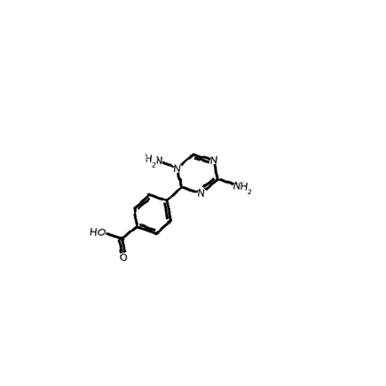 NC1=NC(c2ccc(C(=O)O)cc2)N(N)C=N1